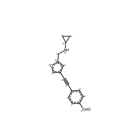 O=[C]c1ccc(C#Cc2coc(CNC3CC3)c2)cc1